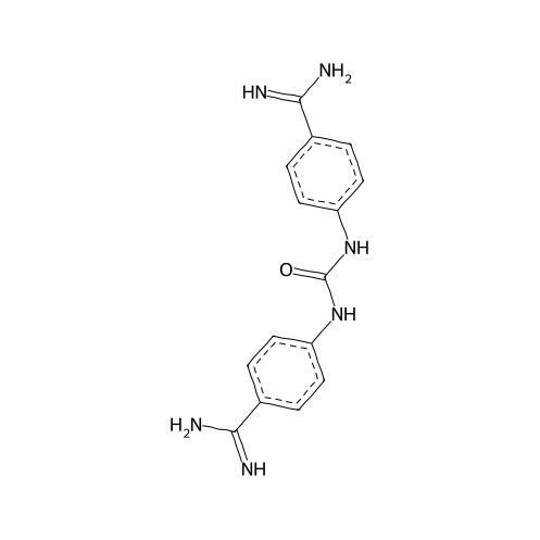 N=C(N)c1ccc(NC(=O)Nc2ccc(C(=N)N)cc2)cc1